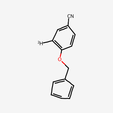 [2H]c1cc(C#N)ccc1OCc1ccccc1